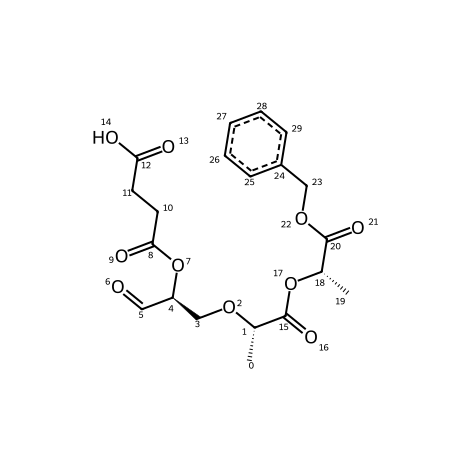 C[C@H](OC[C@@H](C=O)OC(=O)CCC(=O)O)C(=O)O[C@@H](C)C(=O)OCc1ccccc1